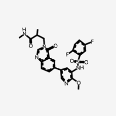 CNC(=O)C(C)Cn1cnc2ccc(-c3cnc(OC)c(NS(=O)(=O)c4cc(F)ccc4F)c3)cc2c1=O